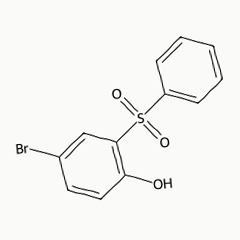 O=S(=O)(c1ccccc1)c1cc(Br)ccc1O